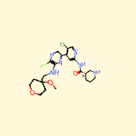 COC1(CNc2nc(-c3cc(NC(=O)[C@@H]4CCCNC4)ncc3Cl)cnc2F)CCOCC1